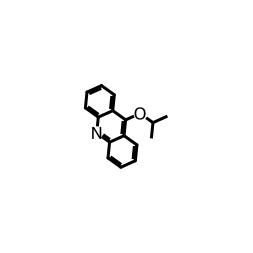 CC(C)Oc1c2ccccc2nc2ccccc12